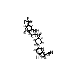 CN(C(=O)Nc1cc(C(F)(F)F)cn(C)c1=O)C1CCN(c2cnc3[nH]cc(C#N)c3n2)CC1